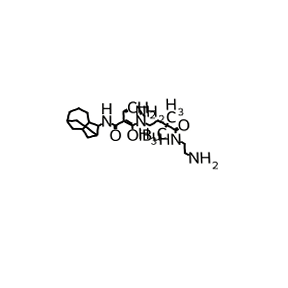 C=C/C(C(=O)NC1C2CC3CCCC1C(C3)C2)=C(/OCC(C)C)N(N)CCC(C)(C)C(=O)NCCN